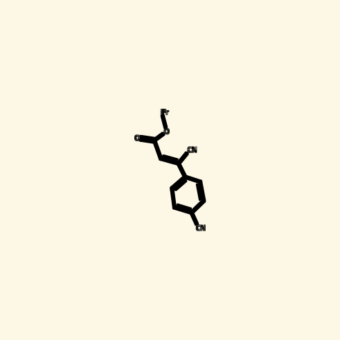 CC(C)OC(=O)C=C(C#N)c1ccc(C#N)cc1